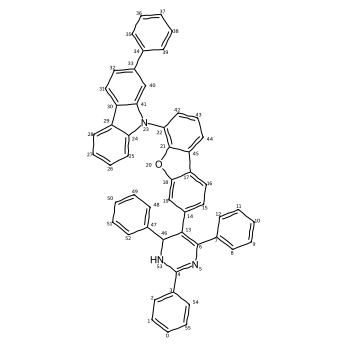 c1ccc(C2=NC(c3ccccc3)=C(c3ccc4c(c3)oc3c(-n5c6ccccc6c6ccc(-c7ccccc7)cc65)cccc34)C(c3ccccc3)N2)cc1